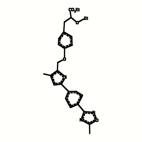 CCOC(=O)C(Cc1ccc(OCc2sc(-c3ccc(-c4noc(C)n4)cc3)cc2C)cc1)OCC